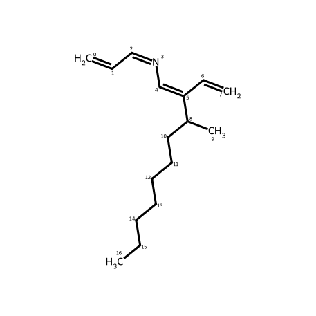 C=C/C=N\C=C(/C=C)C(C)CCCCCCC